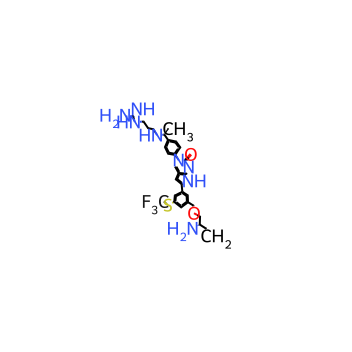 C=C[C@H](N)COCc1cc(SC(F)(F)F)cc(-c2cc3cn(-c4ccc([C@H](C)NCCCNC(=N)N)cc4)c(=O)nc3[nH]2)c1